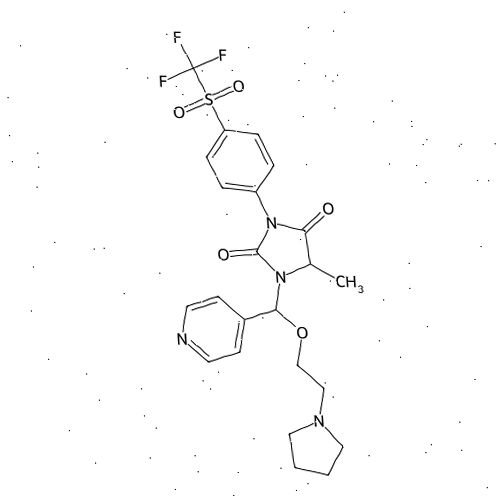 CC1C(=O)N(c2ccc(S(=O)(=O)C(F)(F)F)cc2)C(=O)N1C(OCCN1CCCC1)c1ccncc1